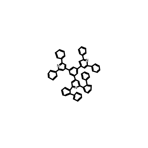 c1ccc(-c2cc(-c3cc(-c4cc(-c5ccccc5)nc(-c5ccccc5)c4)cc(-c4cc(-c5ccccc5-c5ccccc5)nc(-c5ccccc5-c5ccccc5)c4)c3)cc(-c3ccccc3)n2)cc1